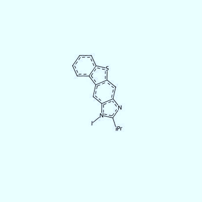 CC(C)c1nc2cc3sc4ccccc4c3cc2n1I